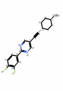 CCCC[C@H]1CC[C@H](C#Cc2cnc(-c3ccc(F)c(F)c3)nc2)CC1